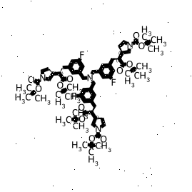 CC(C)(C)OC(=O)[C@@H](Cc1cc(F)cc(CN(Cc2cc(F)cc(C[C@H](C(=O)OC(C)(C)C)[C@H]3CCN(C(=O)OC(C)(C)C)C3)c2)Cc2cc(F)cc(C[C@H](C(=O)OC(C)(C)C)[C@H]3CCN(C(=O)OC(C)(C)C)C3)c2)c1)[C@H]1CCN(C(=O)OC(C)(C)C)C1